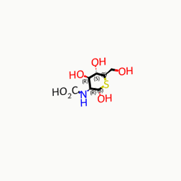 O=C(O)N[C@@H]1[C@@H](O)[C@H](O)[C@@H](CO)S[C@@H]1O